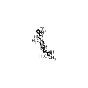 Cc1n[nH]c(-c2ccc(S(=O)(=O)N3CCN(C[C@H](C)Nc4ncnc5c(C(F)(F)F)cccc45)CC3)o2)c1C